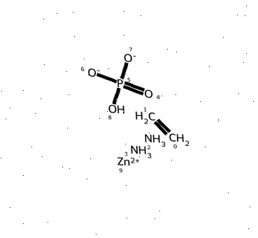 C=C.N.N.O=P([O-])([O-])O.[Zn+2]